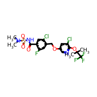 CN(C)S(=O)(=O)NC(=O)c1cc(Cl)c(COc2cnc(OC(C)(C)C(F)(F)F)c(Cl)c2)cc1F